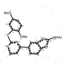 COc1ccc(OC)c(Sc2nccc(-c3ccc4nc(NC(C)=O)sc4c3)n2)c1